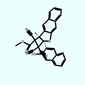 COC(=O)C1(C#N)C(C#N)(C#N)[C@]2(c3cc4ccccc4cc3S)Sc3cc4ccccc4cc3[C@]12I